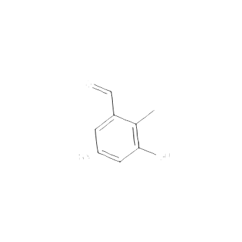 Cc1c(O)cccc1C=O.[Na]